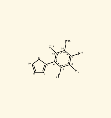 Fc1c(F)c(F)c(C2=CC=CC2)c(F)c1F